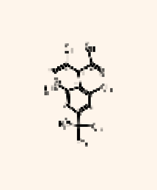 Cc1cc(C(C)(C)C)cc(C)c1C(C(=O)O)C(=O)O.[LiH]